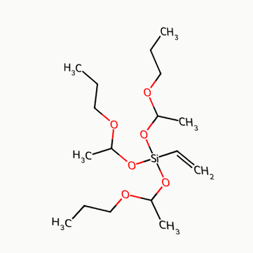 C=C[Si](OC(C)OCCC)(OC(C)OCCC)OC(C)OCCC